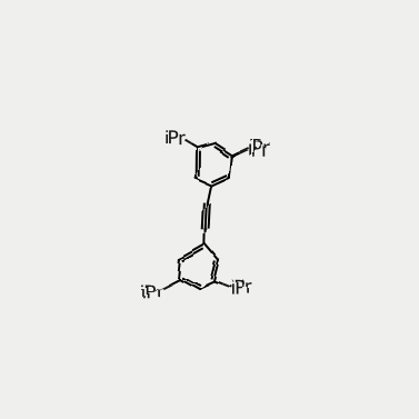 CC(C)c1cc(C#Cc2cc(C(C)C)cc(C(C)C)c2)cc(C(C)C)c1